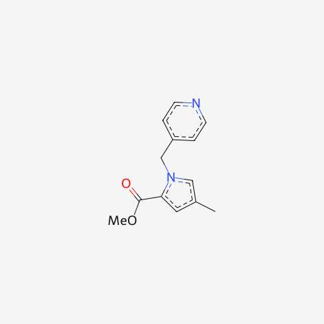 COC(=O)c1cc(C)cn1Cc1ccncc1